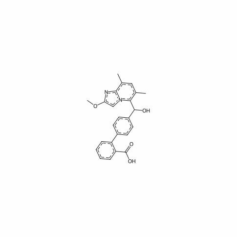 COc1cn2c(C(O)c3ccc(-c4ccccc4C(=O)O)cc3)c(C)cc(C)c2n1